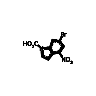 O=C(O)n1ccc2c([N+](=O)[O-])cc(Br)cc21